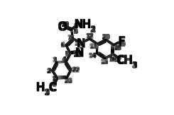 Cc1ccc(-c2cc(C(N)=O)n(Cc3ccc(C)c(F)c3)n2)cc1